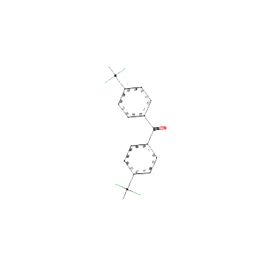 CC(F)(F)c1ccc(C(=O)c2ccc(C(C)(F)F)cc2)cc1